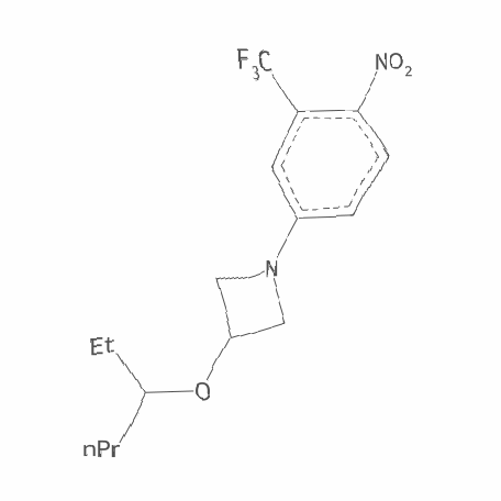 CCCC(CC)OC1CN(c2ccc([N+](=O)[O-])c(C(F)(F)F)c2)C1